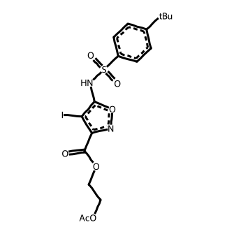 CC(=O)OCCOC(=O)c1noc(NS(=O)(=O)c2ccc(C(C)(C)C)cc2)c1I